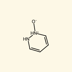 [O-][NH+]1C=CC=CN1